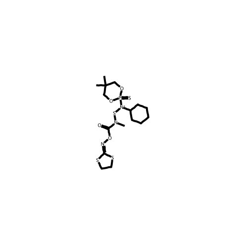 CN(S[N+](C1CCCCC1)P1(=S)OCC(C)(C)CO1)C(=O)ON=C1SCCS1